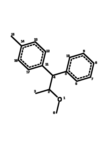 COC(C)C(c1ccccc1)c1ccc(C)cc1